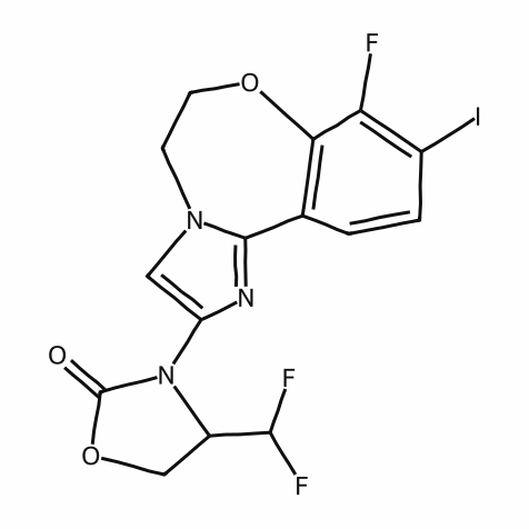 O=C1OCC(C(F)F)N1c1cn2c(n1)-c1ccc(I)c(F)c1OCC2